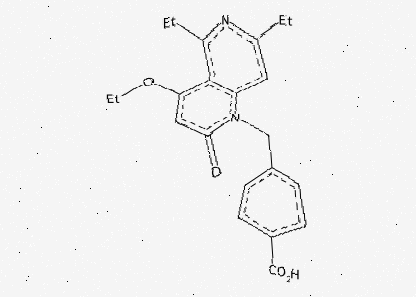 CCOc1cc(=O)n(Cc2ccc(C(=O)O)cc2)c2cc(CC)nc(CC)c12